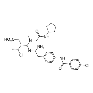 C=C(Cl)/C(CC(=O)O)=C(\N=C(/N)Cc1ccc(NC(=O)c2ccc(Cl)cc2)cc1)N(C)CC(=O)NC1CCCC1